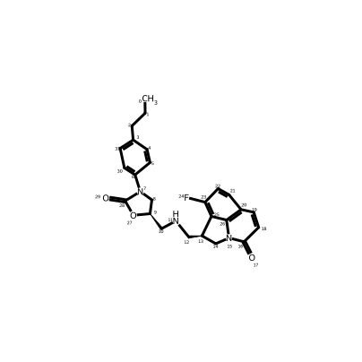 CCCc1ccc(N2C[C@@H](CNC[C@@H]3Cn4c(=O)ccc5ccc(F)c3c54)OC2=O)cc1